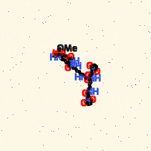 COCOC(=O)NCCCCC(NC(=O)OCCO)C(=O)NCCCCCCNCOC(CCCCNC(=O)CCN1C(=O)C=CC1=O)NC(=O)CCN1C(=O)C=CC1=O